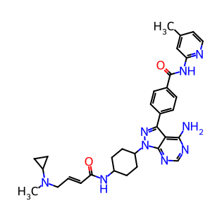 Cc1ccnc(NC(=O)c2ccc(-c3nn(C4CCC(NC(=O)/C=C/CN(C)C5CC5)CC4)c4ncnc(N)c34)cc2)c1